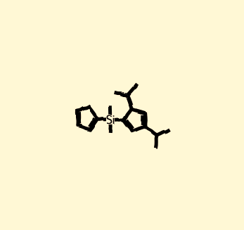 CC(C)C1=CC(C(C)C)C([Si](C)(C)C2=CC=CC2)=C1